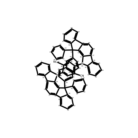 N#Cc1cc(-n2c3ccccc3c3ccc4c(c32)C(c2ccccc2)(c2ccccc2)c2ccccc2-4)c(C#N)cc1-n1c2ccccc2c2ccc3c(c21)C(c1ccccc1)(c1ccccc1)c1ccccc1-3